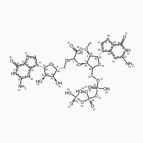 CO[C@@H]1[C@H](OC(OC[C@H]2O[C@@H](n3cnc4c(=O)[nH]c(N)nc43)[C@H](O)[C@@H]2O)C(=O)O)C(COP(=O)(O)OP(=O)(O)OP(=O)(O)O)O[C@H]1n1cnc2c(=O)[nH]c(N)nc21